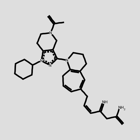 C=C(N)CC(=N)/C=C\CC1=CC2=C(CC=C1)N(c1nn(C3CCCCC3)c3c1CN(C(=C)C)CC3)CCC2